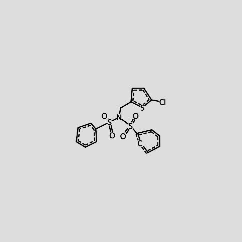 O=S(=O)(c1ccccc1)N(Cc1ccc(Cl)s1)S(=O)(=O)c1ccccc1